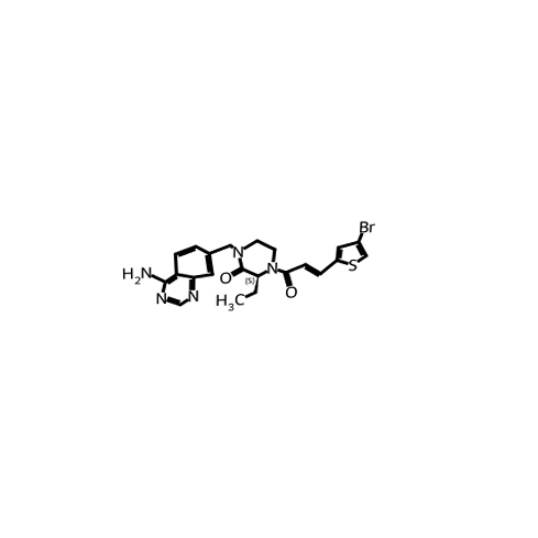 CC[C@H]1C(=O)N(Cc2ccc3c(N)ncnc3c2)CCN1C(=O)C=Cc1cc(Br)cs1